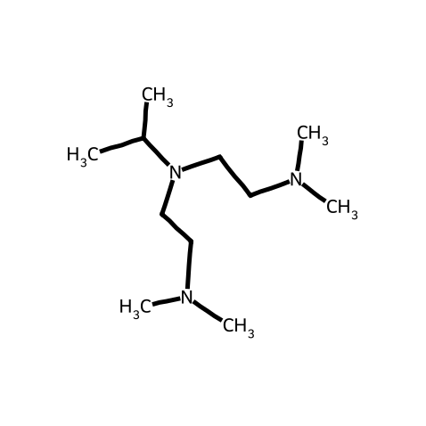 CC(C)N(CCN(C)C)CCN(C)C